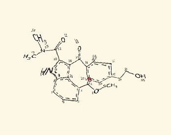 COC(=O)c1cccc2[nH]c(C(=O)N(C)C)c(C(=O)c3ccc(CCO)cc3)c12